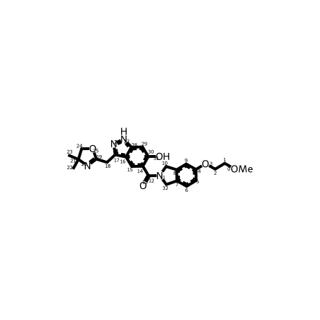 COCCOc1ccc2c(c1)CN(C(=O)c1cc3c(CC4=NC(C)(C)CO4)n[nH]c3cc1O)C2